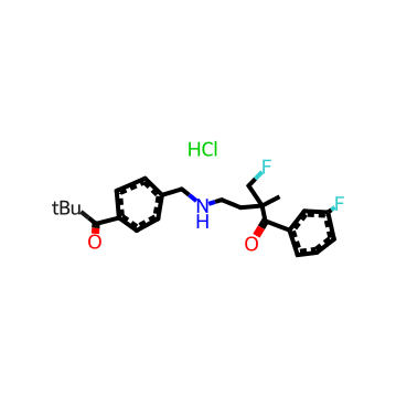 CC(C)(C)C(=O)c1ccc(CNCCC(C)(CF)C(=O)c2cccc(F)c2)cc1.Cl